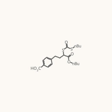 CCCCOC(=O)C(CCc1ccc(C(=O)O)cc1)SC(=O)SCCCC